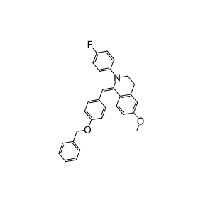 COc1ccc2c(c1)CCN(c1ccc(F)cc1)C2=Cc1ccc(OCc2ccccc2)cc1